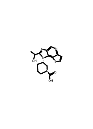 CC(O)c1nc2cnc3ccsc3c2n1[C@H]1CCCN(C(=O)O)C1